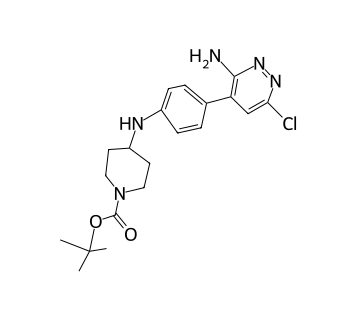 CC(C)(C)OC(=O)N1CCC(Nc2ccc(-c3cc(Cl)nnc3N)cc2)CC1